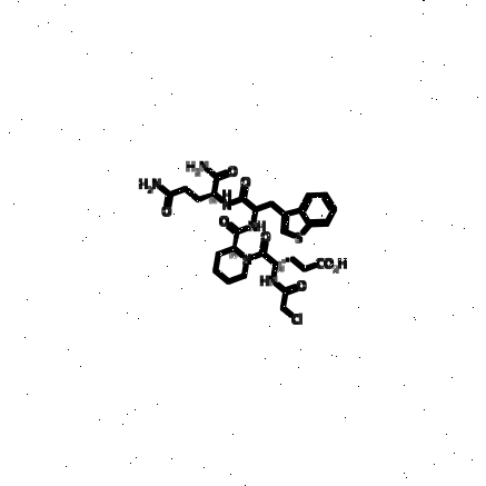 NC(=O)CC[C@H](NC(=O)C(Cc1csc2ccccc12)NC(=O)[C@@H]1CCCCN1C(=O)[C@H](CCC(=O)O)NC(=O)CCl)C(N)=O